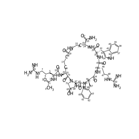 CC(=O)N[C@@H](CCCNC(=N)N)C(=O)N[C@H]1CCCC(=O)NCC[C@@H](C(N)=O)NC(=O)[C@H](Cc2c[nH]c3ccccc23)NC(=O)[C@H](CCCNC(=N)N)NC(=O)[C@@H](Cc2ccccc2)NC(=O)[C@@H]2C[C@@H](O)CN2C1=O